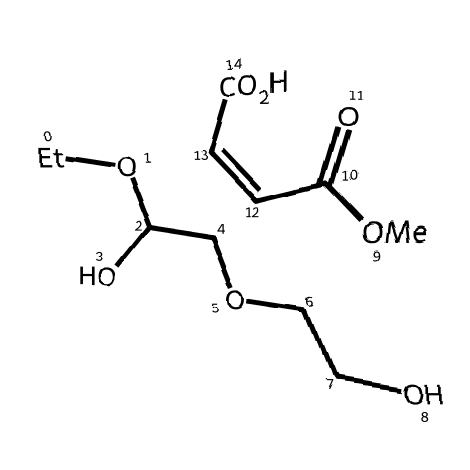 CCOC(O)COCCO.COC(=O)/C=C\C(=O)O